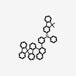 CC1(C)c2ccccc2-c2ccc(N(c3ccccc3)c3cccc(-c4ccc5ccccc5c4-c4cccc5c4-c4ccccc4C54c5ccccc5-c5ccccc54)c3)cc21